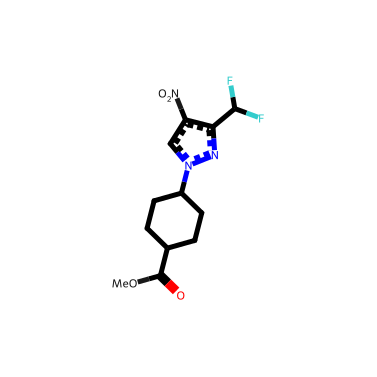 COC(=O)C1CCC(n2cc([N+](=O)[O-])c(C(F)F)n2)CC1